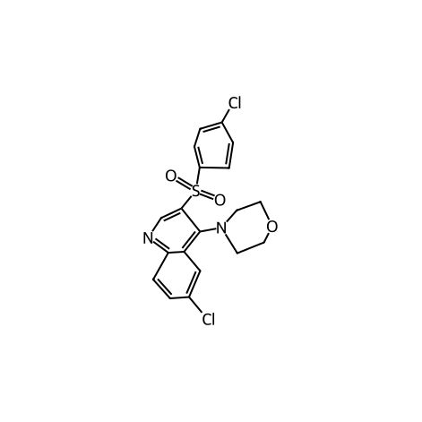 O=S(=O)(c1ccc(Cl)cc1)c1cnc2ccc(Cl)cc2c1N1CCOCC1